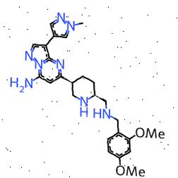 COc1ccc(CNC[C@@H]2CC[C@H](c3cc(N)n4ncc(-c5cnn(C)c5)c4n3)CN2)c(OC)c1